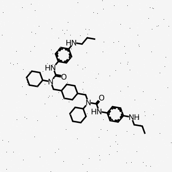 CCCNc1ccc(NC(=O)N(CC2CCC(CN(C(=O)Nc3ccc(NCCC)cc3)C3CCCCC3)CC2)C2CCCCC2)cc1